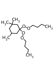 CCCCOOC1(OOCCCC)CC(C)CC(C)(C)C1